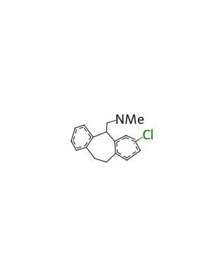 CNCC1c2ccccc2CCc2ccc(Cl)cc21